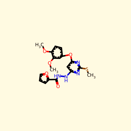 COc1ccc(Oc2cc(NNC(=O)c3ccco3)nc(SC)n2)cc1OC